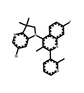 Cc1ncccc1-c1nc2cc(F)ccc2c(N2CC(C)(C)c3ncc(Br)cc32)c1C